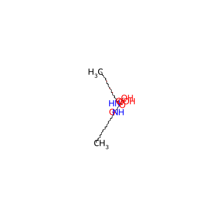 CCC=CCC=CCC=CCC=CCC=CCC=CCCC(=O)NCCCCC(NC(=O)CCC=CCC=CCC=CCC=CCC=CCC=CCC)C(=O)OC(CO)CO